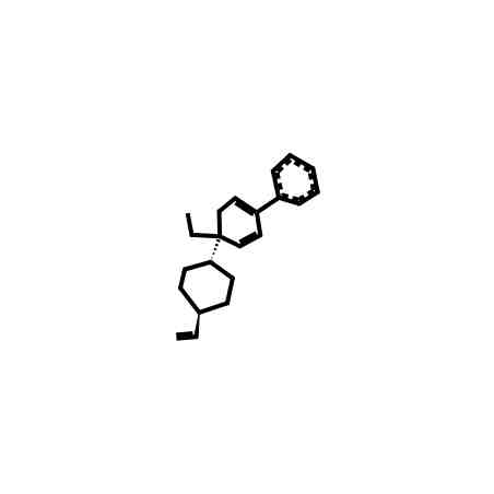 C=C[C@H]1CC[C@H](C2(CC)C=CC(c3ccccc3)=CC2)CC1